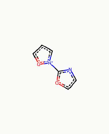 c1co[n+](-c2ncco2)c1